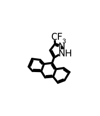 FC(F)(F)c1cc(-c2c3ccccc3cc3ccccc23)[nH]n1